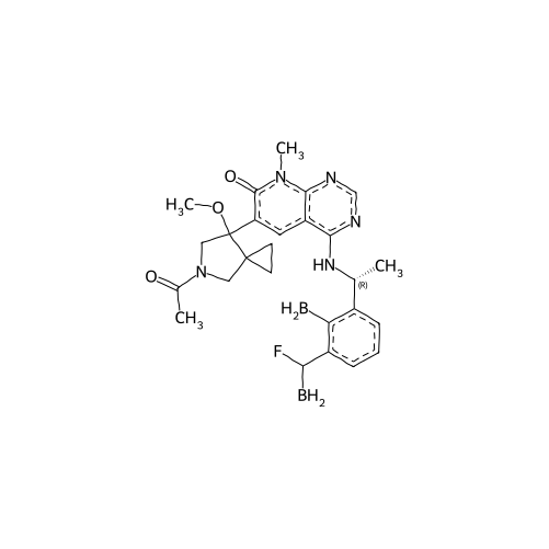 Bc1c(C(B)F)cccc1[C@@H](C)Nc1ncnc2c1cc(C1(OC)CN(C(C)=O)CC13CC3)c(=O)n2C